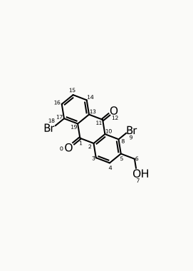 O=C1c2ccc(CO)c(Br)c2C(=O)c2cccc(Br)c21